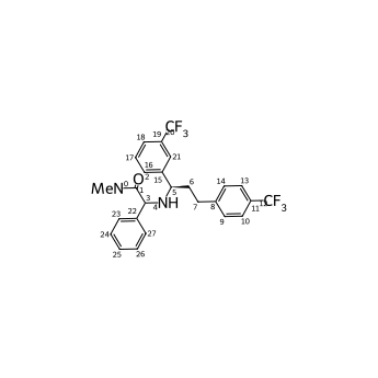 CNC(=O)C(N[C@H](CCc1ccc(C(F)(F)F)cc1)c1cccc(C(F)(F)F)c1)c1ccccc1